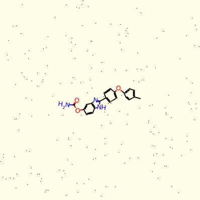 Cc1ccc(Oc2ccc(-c3nc4cc(OC(N)=O)ccc4[nH]3)cc2)cc1